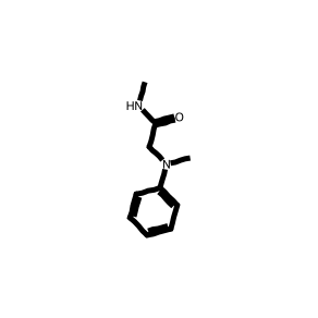 CNC(=O)CN(C)c1ccccc1